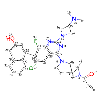 C=CC(=O)N1CC2(CCN(c3nc(N4CC(N(C)C)C4)nc4c(F)c(-c5cc(O)cc6ccccc56)c(Cl)cc34)C2)C1C